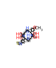 COc1ccc(-c2c3nc(cc4ccc([nH]4)c(-c4ccc(N=C=S)cc4)c4nc(cc5ccc2[nH]5)C(O)C4O)C(O)C3O)cc1